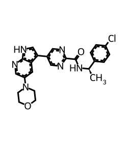 C[C@@H](NC(=O)c1ncc(-c2c[nH]c3ncc(N4CCOCC4)cc23)cn1)c1ccc(Cl)cc1